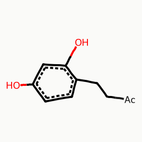 CC(=O)CCc1ccc(O)cc1O